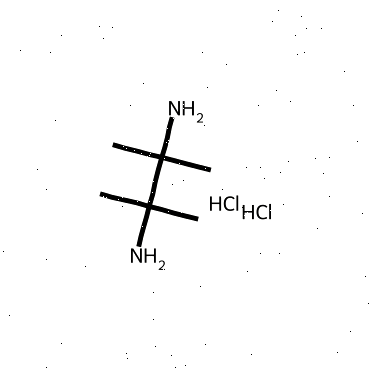 CC(C)(N)C(C)(C)N.Cl.Cl